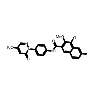 COc1c(C(=O)Nc2ccc(-n3ncc(C(F)(F)F)cc3=O)cc2)cc2ccc(F)cc2c1Cl